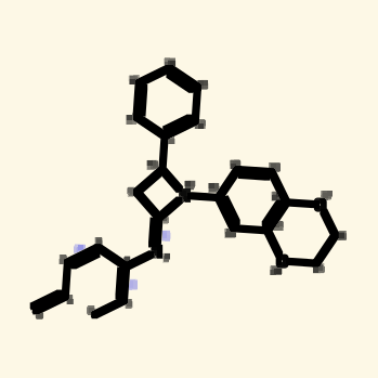 C=C\C=C/C(=C\C)/N=C1\CC(c2ccccc2)N1c1ccc2c(c1)OCCO2